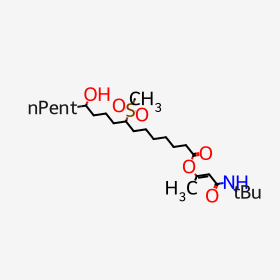 CCCCCC(O)CCCC(CCCCCCC(=O)OC(C)=CC(=O)NC(C)(C)C)S(C)(=O)=O